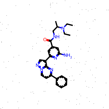 CCN(CC)C(C)CNC(=O)c1cc(N)nc(-c2cnn3ccc(-c4ccccc4)nc23)c1